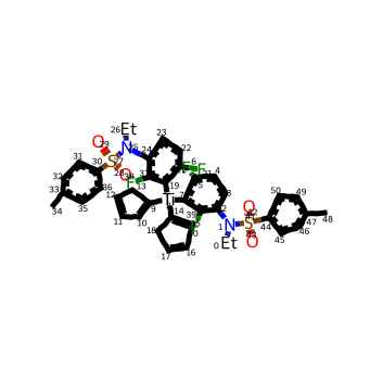 CCN(c1ccc(F)[c]([Ti]([C]2=CC=CC2)([C]2=CC=CC2)[c]2c(F)ccc(N(CC)S(=O)(=O)c3ccc(C)cc3)c2F)c1F)S(=O)(=O)c1ccc(C)cc1